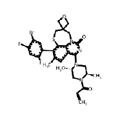 C=CC(=O)N1C[C@H](C)N(c2nc(=O)n3c4c(c(-c5cc(Br)c(F)cc5F)c(C)cc24)SCC2(COC2)C3)C[C@H]1C